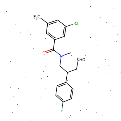 CN(CC(CC=O)c1ccc(F)cc1)C(=O)c1cc(Cl)cc(C(F)(F)F)c1